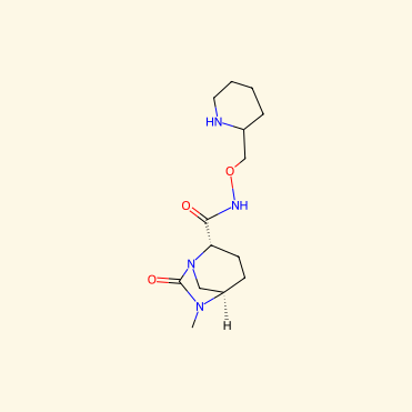 CN1C(=O)N2C[C@H]1CC[C@H]2C(=O)NOCC1CCCCN1